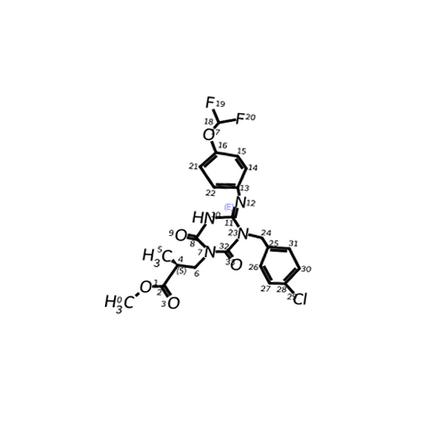 COC(=O)[C@@H](C)Cn1c(=O)[nH]/c(=N\c2ccc(OC(F)F)cc2)n(Cc2ccc(Cl)cc2)c1=O